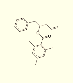 C=CC[C@@H](Cc1ccccc1)OC(=O)c1c(C)cc(C)cc1C